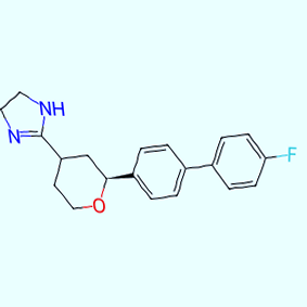 Fc1ccc(-c2ccc([C@@H]3CC(C4=NCCN4)CCO3)cc2)cc1